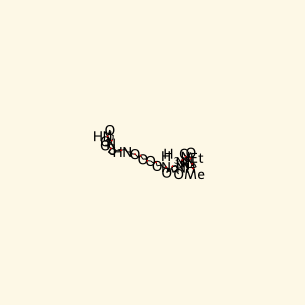 CC[C@@H]1C(=O)N(C)c2cnc(Nc3ccc(C(=O)NCCOCCOCCOCCOCCNCC#Cc4cccc5c4CN(C4CCC(=O)NC4=O)C5=O)cc3OC)nc2N1C1CCCC1